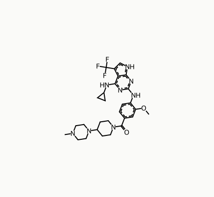 COc1cc(C(=O)N2CCC(N3CCN(C)CC3)CC2)ccc1Nc1nc(NC2CC2)c2c(C(F)(F)F)c[nH]c2n1